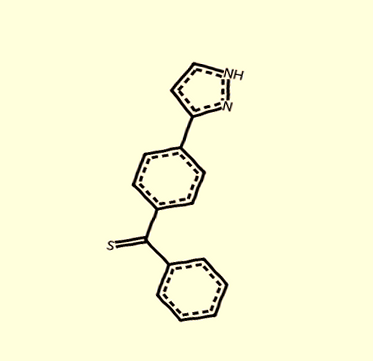 S=C(c1ccccc1)c1ccc(-c2cc[nH]n2)cc1